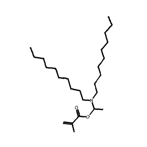 C=C(C)C(=O)OC(C)N(CCCCCCCCCC)CCCCCCCCCC